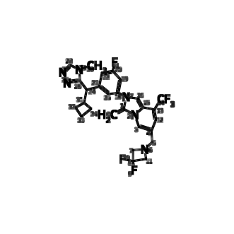 C=C1N2C=C(CN3CC(F)(F)C3)C=C(C(F)(F)F)C2=CN1c1cc(F)cc(C(c2nncn2C)C2CCC2)c1